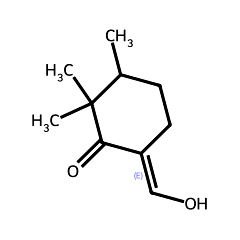 CC1CC/C(=C\O)C(=O)C1(C)C